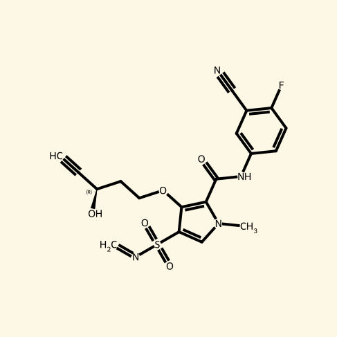 C#C[C@H](O)CCOc1c(S(=O)(=O)N=C)cn(C)c1C(=O)Nc1ccc(F)c(C#N)c1